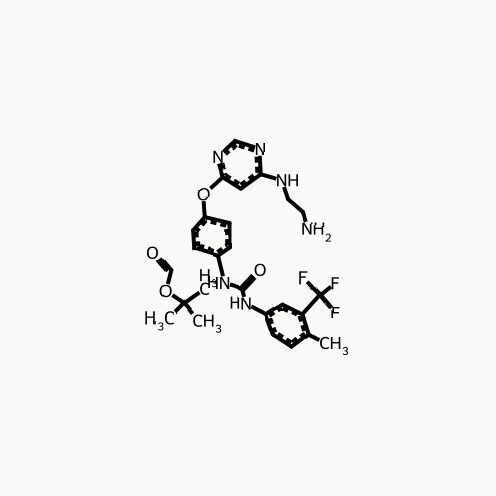 CC(C)(C)OC=O.Cc1ccc(NC(=O)Nc2ccc(Oc3cc(NCCN)ncn3)cc2)cc1C(F)(F)F